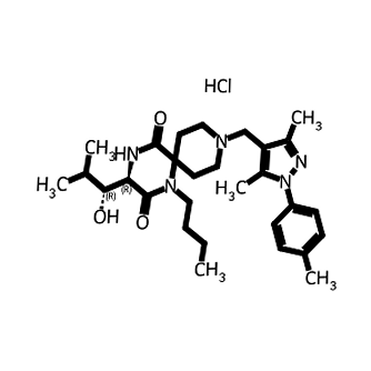 CCCCN1C(=O)[C@@H]([C@H](O)C(C)C)NC(=O)C12CCN(Cc1c(C)nn(-c3ccc(C)cc3)c1C)CC2.Cl